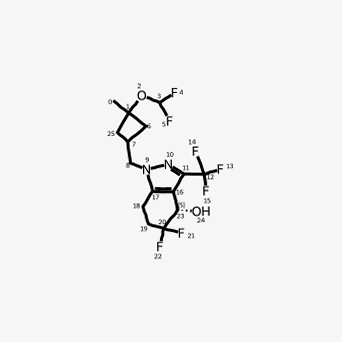 CC1(OC(F)F)CC(Cn2nc(C(F)(F)F)c3c2CCC(F)(F)[C@H]3O)C1